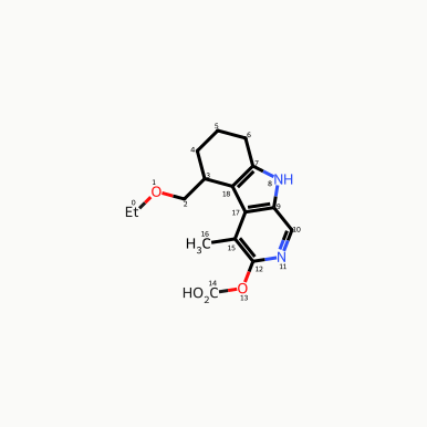 CCOCC1CCCc2[nH]c3cnc(OC(=O)O)c(C)c3c21